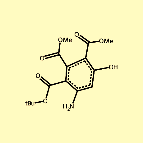 COC(=O)c1c(O)cc(N)c(C(=O)OC(C)(C)C)c1C(=O)OC